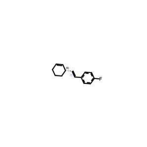 Fc1ccc(/C=C/[C@H]2C=CCCC2)cc1